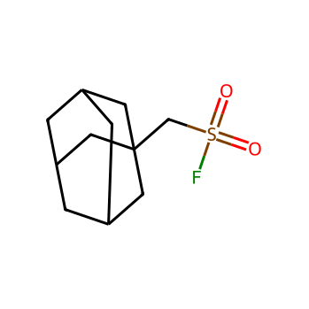 O=S(=O)(F)CC12CC3CC(CC(C3)C1)C2